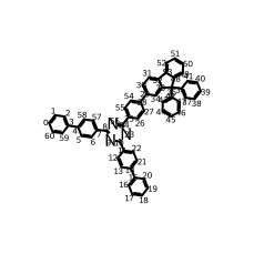 c1ccc(-c2ccc(-c3nc(-c4ccc(-c5ccccc5)cc4)nc(-c4ccc(-c5ccc6c(c5)C(c5ccccc5)(c5ccccc5)c5ccccc5-6)cc4)n3)cc2)cc1